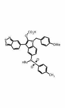 CCCCN(c1ccc2c(c1)c(-c1ccc3nsnc3c1)c(OC(=O)O)n2Cc1ccc(OC)cc1)S(=O)(=O)c1ccc(C)cc1